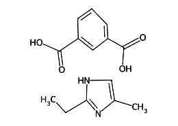 CCc1nc(C)c[nH]1.O=C(O)c1cccc(C(=O)O)c1